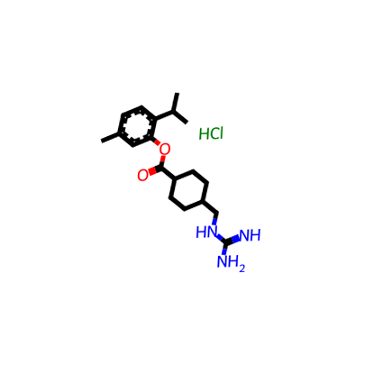 Cc1ccc(C(C)C)c(OC(=O)C2CCC(CNC(=N)N)CC2)c1.Cl